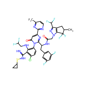 CC1Cc2c(C(F)F)nn(CC(=O)NC(Cc3cc(F)cc(F)c3)c3nc(-c4nccc(C(F)(F)F)n4)cc(=O)n3-c3ccc(Cl)c(C(=N)NSC4CC4)c3NCC(F)F)c2C1(F)F